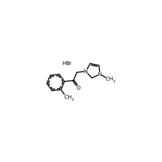 Br.Cc1ccccc1C(=O)CN1C=CN(C)C1